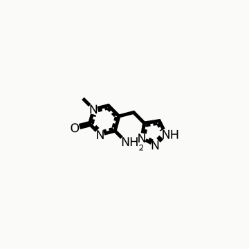 Cn1cc(Cc2c[nH]nn2)c(N)nc1=O